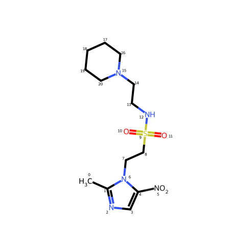 Cc1ncc([N+](=O)[O-])n1CCS(=O)(=O)NCCN1CCCCC1